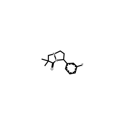 CC1(C)CN2CCC(c3cccc(F)c3)N2C1=O